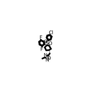 Cc1noc(C[C@H]2CC[C@@](c3cc(F)ccc3F)(S(=O)(=O)c3ccc(Cl)cc3)CC2)n1